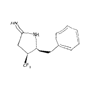 N=C1C[C@H](C(F)(F)F)[C@H](Cc2ccccc2)N1